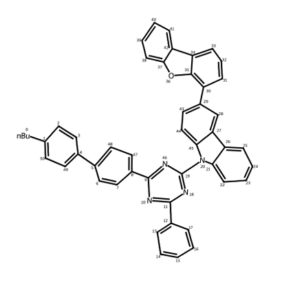 CCCCc1ccc(-c2ccc(-c3nc(-c4ccccc4)nc(-n4c5ccccc5c5cc(-c6cccc7c6oc6ccccc67)ccc54)n3)cc2)cc1